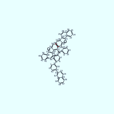 c1cc(-c2ccc(N(c3ccccc3-c3cccc4c3oc3c5ccccc5ccc43)c3cccc4oc5c6ccccc6ccc5c34)cc2)cc(-c2ccc3ccccc3c2)c1